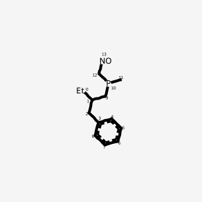 CCC(Cc1ccccc1)CP(C)CN=O